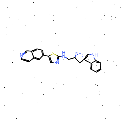 N[C@H](CNc1ncc(-c2ccc3cnccc3c2)s1)Cc1c[nH]c2ccccc12